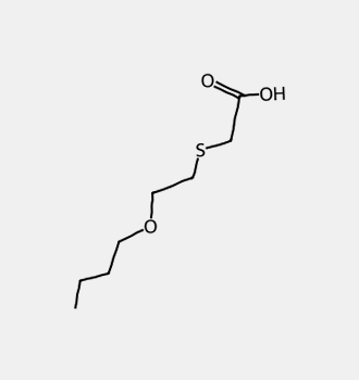 CCCCOCCSCC(=O)O